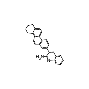 Nc1nc2ccccc2cc1-c1ccc2c(ccc3c4c(ccc32)CCCC4)c1